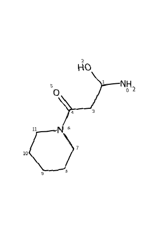 NC(O)CC(=O)N1CCCCC1